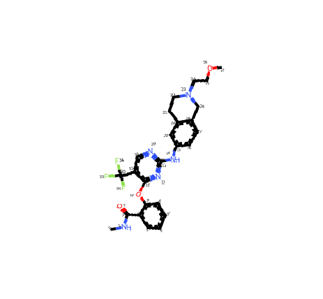 CNC(=O)c1ccccc1Oc1nc(Nc2ccc3c(c2)CCN(CCOC)C3)ncc1C(F)(F)F